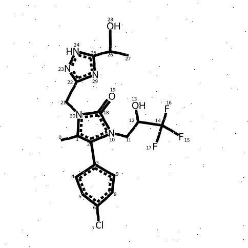 Cc1c(-c2ccc(Cl)cc2)n(CC(O)C(F)(F)F)c(=O)n1Cc1n[nH]c(C(C)O)n1